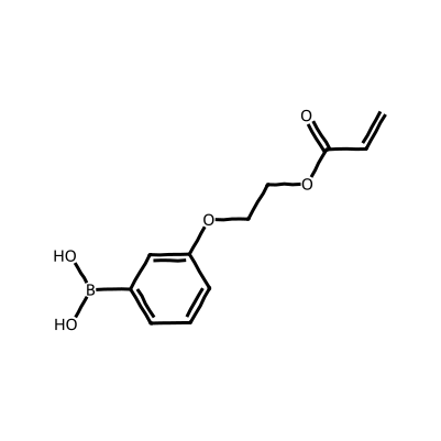 C=CC(=O)OCCOc1cccc(B(O)O)c1